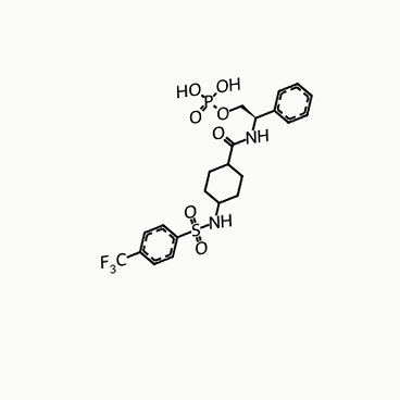 O=C(N[C@@H](COP(=O)(O)O)c1ccccc1)C1CCC(NS(=O)(=O)c2ccc(C(F)(F)F)cc2)CC1